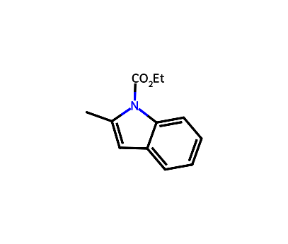 CCOC(=O)n1c(C)cc2ccccc21